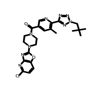 Cc1cc(C(=O)N2CCN(c3nc4nc(Cl)ccc4o3)CC2)cnc1-c1nnn(CC(C)(C)C)n1